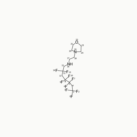 FC(F)(F)CC(F)(F)C(F)(F)CC(F)(F)CNCCN1CCOCC1